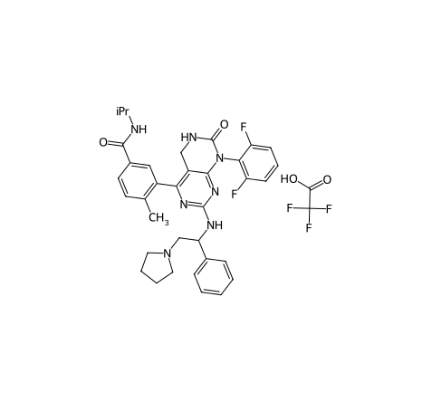 Cc1ccc(C(=O)NC(C)C)cc1-c1nc(NC(CN2CCCC2)c2ccccc2)nc2c1CNC(=O)N2c1c(F)cccc1F.O=C(O)C(F)(F)F